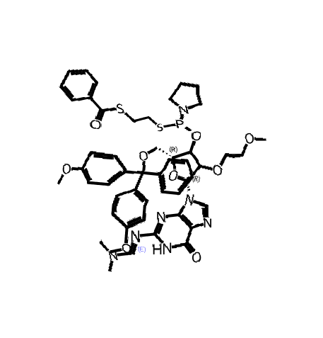 COCCOC1C(OP(SCCSC(=O)c2ccccc2)N2CCCC2)[C@@H](COC(c2ccccc2)(c2ccc(OC)cc2)c2ccc(OC)cc2)O[C@H]1n1cnc2c(=O)[nH]c(/N=C/N(C)C)nc21